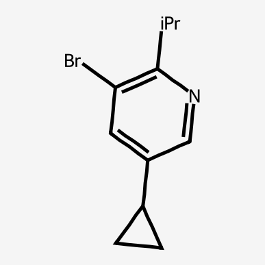 CC(C)c1ncc(C2CC2)cc1Br